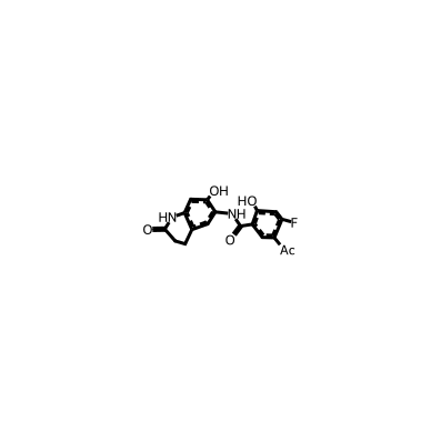 CC(=O)c1cc(C(=O)Nc2cc3c(cc2O)NC(=O)CC3)c(O)cc1F